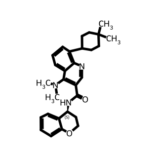 CN(C)c1c(C(=O)N[C@H]2CCOc3ccccc32)cnc2c(C3CCC(C)(C)CC3)cccc12